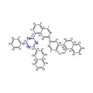 Cc1ccc(-c2ccc3cccc(-c4nc(-c5ccccc5)nc(-c5ccc6ccccc6c5)n4)c3c2)cc1-c1ccc2ccccc2c1C